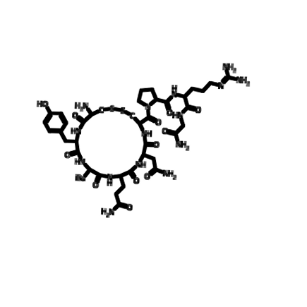 CCC(C)C1NC(=O)C(Cc2ccc(O)cc2)NC(=O)C(N)CSSCC(C(=O)N2CCCC2C(=O)NC(CCCN=C(N)N)C(=O)NCC(N)=O)NC(=O)C(CC(N)=O)NC(=O)C(CCC(N)=O)NC1=O